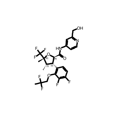 C[C@H]1[C@@H](c2ccc(F)c(F)c2OCC(C)(F)F)[C@H](C(=O)Nc2ccnc(CO)c2)O[C@@]1(C)C(F)(F)F